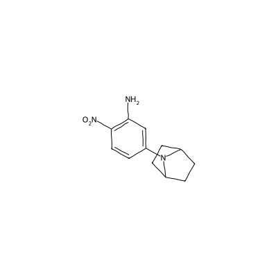 Nc1cc(N2C3CCC2CC3)ccc1[N+](=O)[O-]